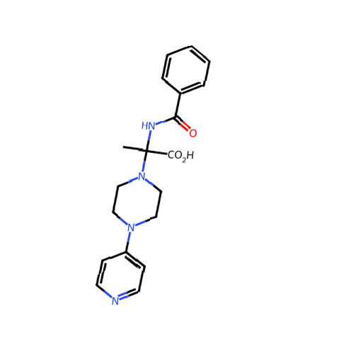 CC(NC(=O)c1ccccc1)(C(=O)O)N1CCN(c2ccncc2)CC1